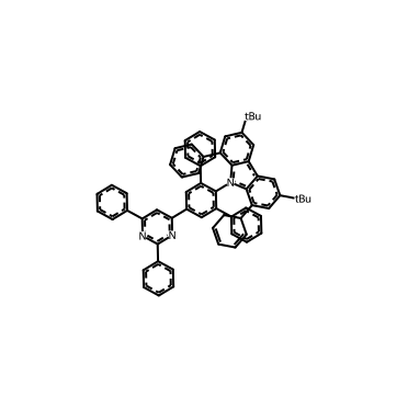 CC(C)(C)c1cc(-c2ccccc2)c2c(c1)c1cc(C(C)(C)C)cc(C3C=CC=CC3)c1n2-c1c(-c2ccccc2)cc(-c2cc(-c3ccccc3)nc(-c3ccccc3)n2)cc1-c1ccccc1